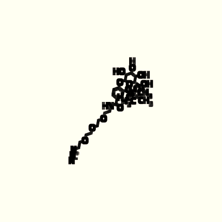 CC(C)(C)[Si](C)(C)Oc1cc(C(=O)NCCOCCOCCOCCN=[N+]=[N-])ccc1OC1O[C@H](CO)[C@H](O)[C@H](O)[C@H]1O